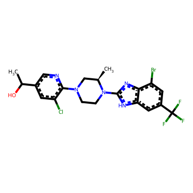 CC(O)c1cnc(N2CCN(c3nc4c(Br)cc(C(F)(F)F)cc4[nH]3)[C@H](C)C2)c(Cl)c1